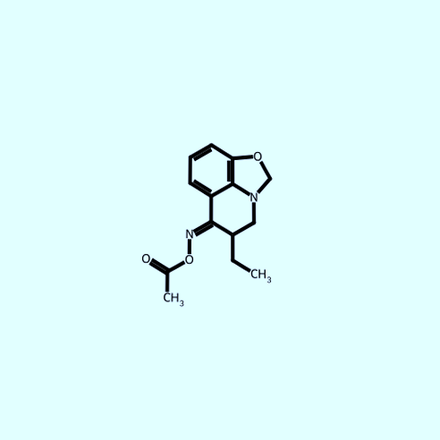 CCC1CN2COc3cccc(c32)/C1=N/OC(C)=O